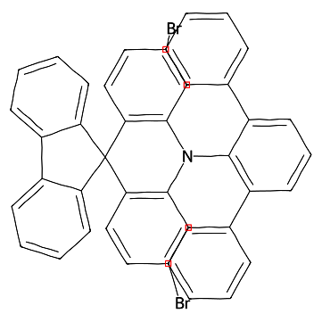 Brc1ccc2c(c1)N(c1c(-c3ccccc3)cccc1-c1ccccc1)c1cc(Br)ccc1C21c2ccccc2-c2ccccc21